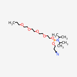 CCCOCCOCCOCCOCCOP(OCCC#N)N(C(C)C)C(C)C